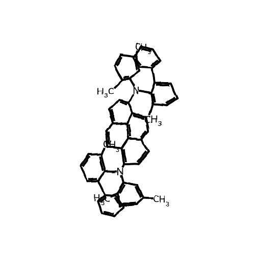 Cc1ccc(C)c(N(c2c(C)cccc2-c2ccccc2)c2ccc3ccc4c(N(c5cc(C)ccc5C)c5c(C)cccc5-c5ccccc5)ccc5ccc2c3c54)c1